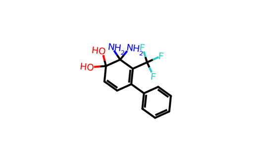 NC1(N)C(C(F)(F)F)=C(c2ccccc2)C=CC1(O)O